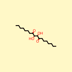 CCCCCCCC(=O)C(O)C(O)C(=O)CCCCCCC